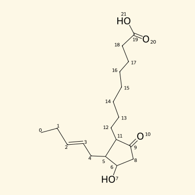 CCC=CCC1C(O)CC(=O)C1CCCCCCCC(=O)O